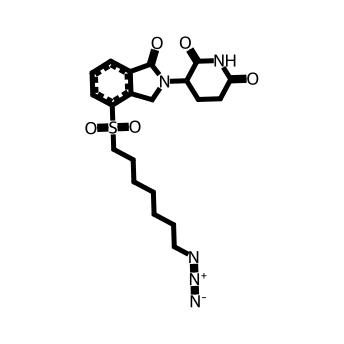 [N-]=[N+]=NCCCCCCCS(=O)(=O)c1cccc2c1CN(C1CCC(=O)NC1=O)C2=O